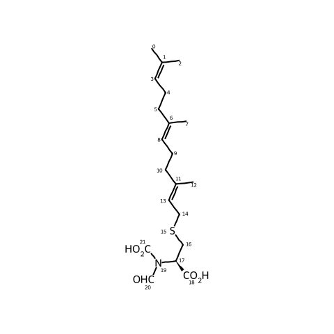 CC(C)=CCC/C(C)=C/CC/C(C)=C/CSC[C@@H](C(=O)O)N(C=O)C(=O)O